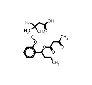 CC(C)(C)CC(=O)O.CCCC(OC(=O)CC(C)=O)c1ccccc1OC